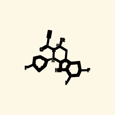 C#CC(=O)N1[C@@H](CC)Cc2c([nH]c3c(F)cc(F)cc23)[C@@H]1c1ccc(F)cc1